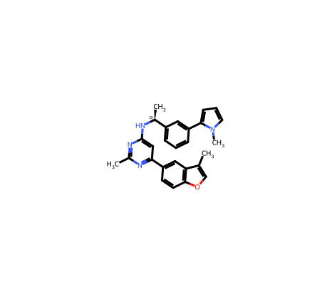 Cc1nc(N[C@@H](C)c2cccc(-c3cccn3C)c2)cc(-c2ccc3occ(C)c3c2)n1